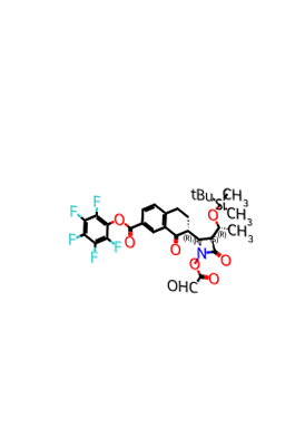 C[C@@H](O[Si](C)(C)C(C)(C)C)[C@H]1C(=O)N(OC(=O)C=O)[C@@H]1[C@H]1CCc2ccc(C(=O)Oc3c(F)c(F)c(F)c(F)c3F)cc2C1=O